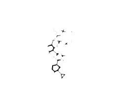 COc1nc(-c2ccc(F)c(C3CC3)c2)nc(-c2cc(CN(C(=O)OC(C)(C)C)C(=O)OC(C)(C)C)ccc2Cl)n1